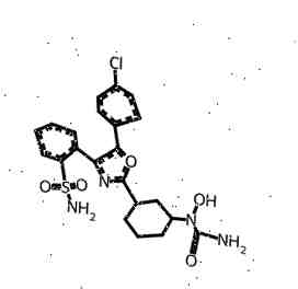 NC(=O)N(O)C1CCCC(c2nc(-c3ccccc3S(N)(=O)=O)c(-c3ccc(Cl)cc3)o2)C1